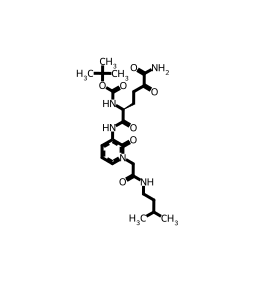 CC(C)CCNC(=O)Cn1cccc(NC(=O)[C@H](CCC(=O)C(N)=O)NC(=O)OC(C)(C)C)c1=O